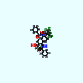 CC(O)(c1ccc2c(NC(=O)c3ccccc3)c(C(O)(C(F)(F)F)C(F)(F)F)ccc2c1NC(=O)c1ccccc1)C(F)(F)F